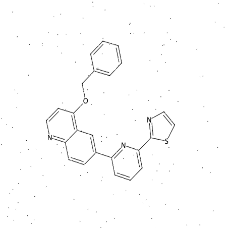 c1ccc(COc2ccnc3ccc(-c4cccc(-c5nccs5)n4)cc23)cc1